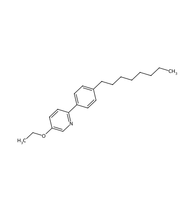 CCCCCCCCc1ccc(-c2ccc(OCC)cn2)cc1